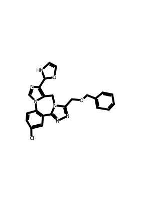 Clc1ccc2c(c1)-c1nnc(COCc3ccccc3)n1Cc1c(C3NC=CO3)ncn1-2